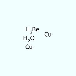 O.[BeH2].[Cu].[Cu]